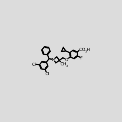 CC1(COc2cc(F)c(C(=O)O)cc2C2CC2)CN(C(c2ccccc2)c2cc(Cl)cc(Cl)c2)C1